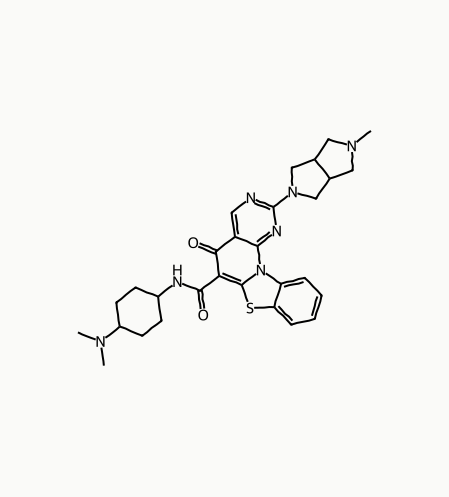 CN1CC2CN(c3ncc4c(=O)c(C(=O)NC5CCC(N(C)C)CC5)c5sc6ccccc6n5c4n3)CC2C1